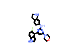 Fc1ccc2[nH]ccc2c1-c1cc(N2CCOCC2)nc(Nc2ccc3c(c2)CNCC3)n1